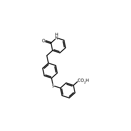 O=C(O)c1cccc(Sc2ccc(Cc3ccc[nH]c3=O)cc2)c1